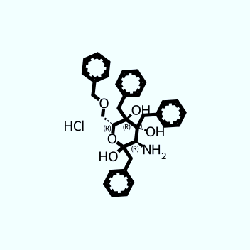 Cl.N[C@H]1C(O)(Cc2ccccc2)O[C@H](COCc2ccccc2)[C@](O)(Cc2ccccc2)[C@@]1(O)Cc1ccccc1